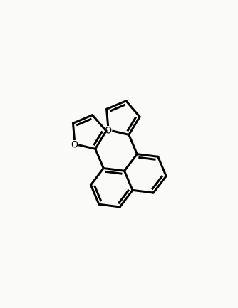 c1coc(-c2cccc3cccc(-c4ccco4)c23)c1